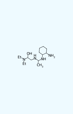 CCN(CC)C(O)CNC(C)NC1CCCCC1N